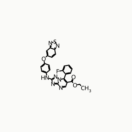 CCOC(=O)c1cnc2nc(Nc3ccc(Oc4ccc5nsnc5c4)cc3)nn2c1-c1ccccc1F